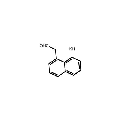 O=CCc1cccc2ccccc12.[KH]